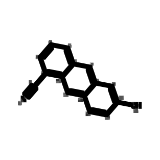 N#Cc1cccc2cc3cc(O)ccc3cc12